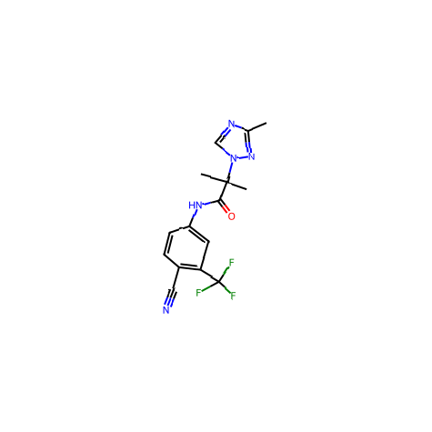 Cc1ncn(C(C)(C)C(=O)Nc2ccc(C#N)c(C(F)(F)F)c2)n1